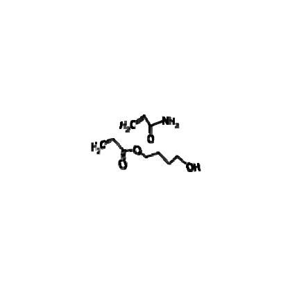 C=CC(=O)OCCCCO.C=CC(N)=O